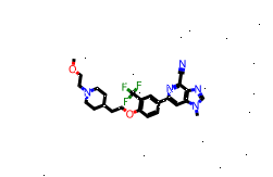 COCCN1CCC(CCOc2ccc(-c3cc4c(ncn4C)c(C#N)n3)cc2C(F)(F)F)CC1